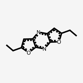 CCc1cc2nc3cc(CC)oc3nc2o1